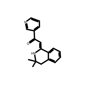 CC1(C)Cc2ccccc2C(=CC(=O)c2cccnc2)N1